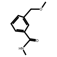 CNC(=O)c1cccc(COC)c1